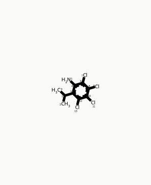 CC(C)c1c(N)c(Cl)c(Cl)c(Cl)c1Cl